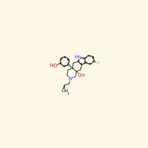 C=CCN1CCC2(c3cccc(O)c3)Cc3[nH]c4ccc(F)cc4c3CC2(O)C1